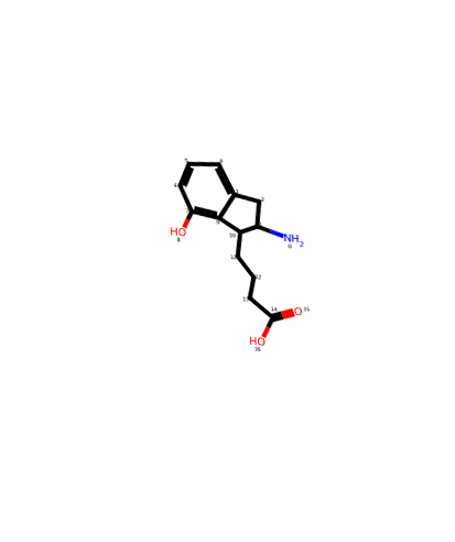 NC1Cc2cccc(O)c2C1CCCC(=O)O